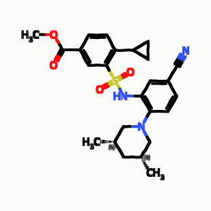 COC(=O)c1ccc(C2CC2)c(S(=O)(=O)Nc2cc(C#N)ccc2N2C[C@H](C)C[C@H](C)C2)c1